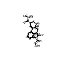 CCN(CC)C(=O)[C@@H]1C=C2c3cccc4c3c(c(Br)n4C(=O)OC(C)(C)C)C[C@H]2N(C)C1